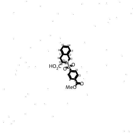 COC(=O)c1ccc(S(=O)(=O)N2Cc3ccccc3C[C@H]2C(=O)O)cc1